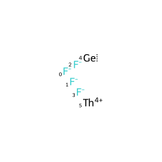 [F-].[F-].[F-].[F-].[Ge].[Th+4]